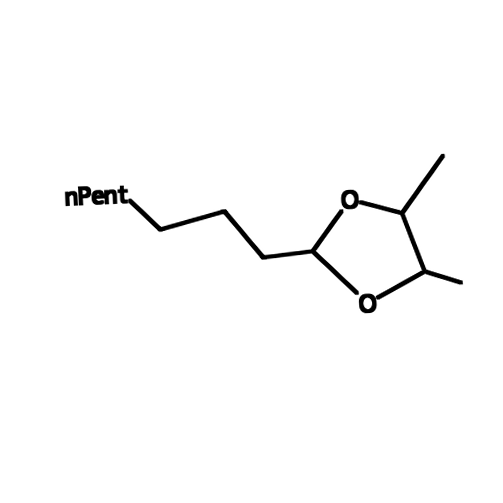 CCCCCCCCC1OC(C)C(C)O1